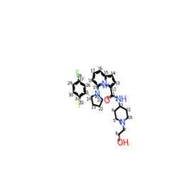 O=C(NC1CCN(CCO)CC1)c1ccc2cccc(N3CCC[C@@H]3c3cc(F)ccc3F)n12